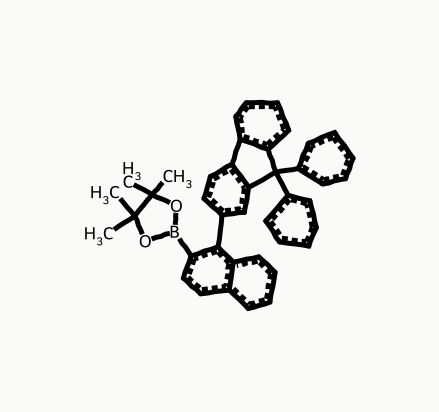 CC1(C)OB(c2ccc3ccccc3c2-c2ccc3c(c2)C(c2ccccc2)(c2ccccc2)c2ccccc2-3)OC1(C)C